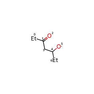 CCC(=O)CC([O])CC